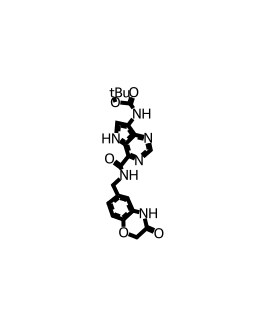 CC(C)(C)OC(=O)Nc1c[nH]c2c(C(=O)NCc3ccc4c(c3)NC(=O)CO4)ncnc12